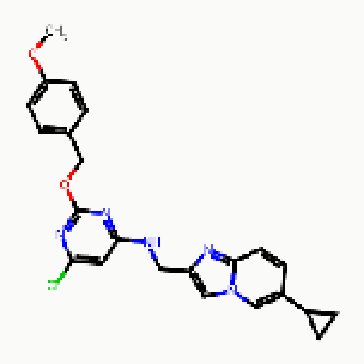 COc1ccc(COc2nc(Cl)cc(NCc3cn4cc(C5CC5)ccc4n3)n2)cc1